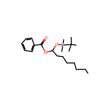 CCCCCCCC(OC(=O)c1ccccc1)O[Si](C)(C)C(C)(C)C